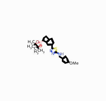 COc1ccc(CNc2nnc(-c3ccc4c(c3)C(B3OC(C)(C)C(C)(C)O3)=CC4)s2)cc1